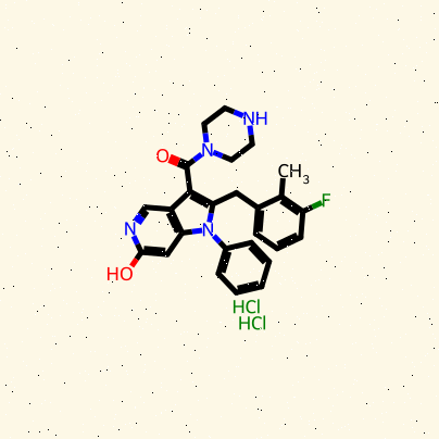 Cc1c(F)cccc1Cc1c(C(=O)N2CCNCC2)c2cnc(O)cc2n1-c1ccccc1.Cl.Cl